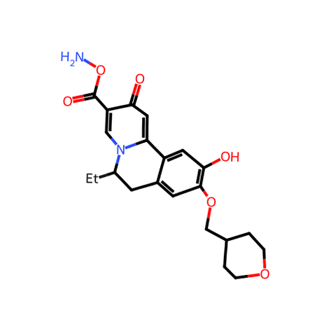 CCC1Cc2cc(OCC3CCOCC3)c(O)cc2-c2cc(=O)c(C(=O)ON)cn21